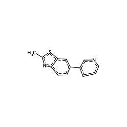 Cc1nc2ccc(-c3cccnc3)cc2s1